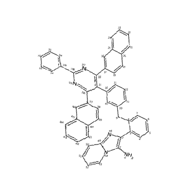 Nc1c(-c2ccccc2Cc2cccc(-c3c(-c4ccc5ccccc5c4)nc(-c4ccccc4)nc3-c3ccc4ccccc4c3)c2)nc2ccccn12